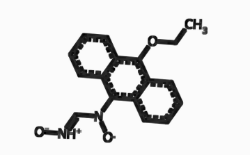 CCOc1c2ccccc2c(N([O])C=[NH+][O-])c2ccccc12